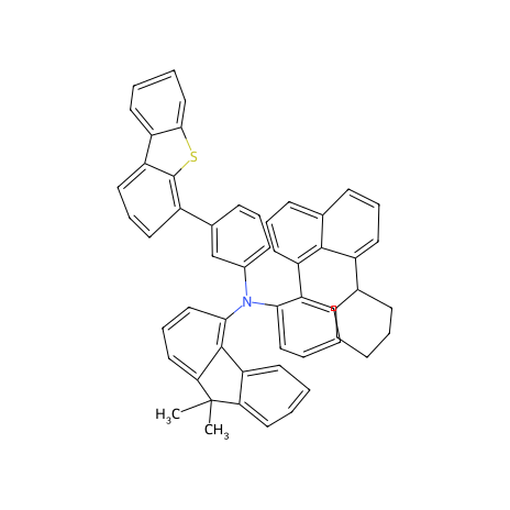 CC1(C)c2ccccc2-c2c(N(c3cccc(-c4cccc5c4sc4ccccc45)c3)c3ccccc3-c3cccc4cccc(C5CCCCC5)c34)cccc21